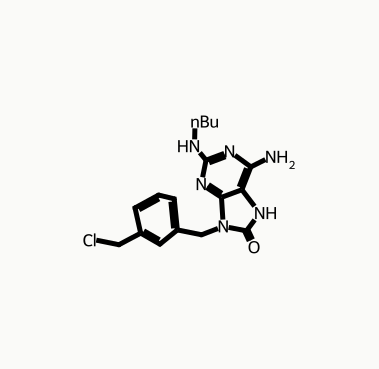 CCCCNc1nc(N)c2[nH]c(=O)n(Cc3cccc(CCl)c3)c2n1